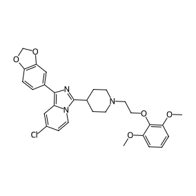 COc1cccc(OC)c1OCCN1CCC(c2nc(-c3ccc4c(c3)OCO4)c3cc(Cl)ccn23)CC1